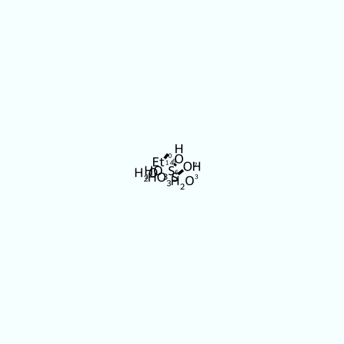 CCC.O.O.O=S(=O)(O)O.O=S(=O)(O)O